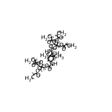 C=CC(=O)OCC(COC(C)=O)(COC(=O)C=C)COC(=O)NC1CCC(C)(CNC(=O)OC(COC(=O)C=C)(COC(=O)C=C)COC(=O)C=C)C(C)(C)C1